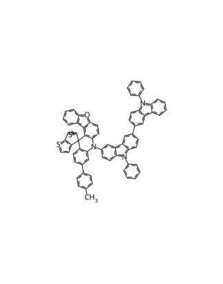 Cc1ccc(-c2ccc3c(c2)N(c2ccc4c(c2)c2cc(-c5ccc6c(c5)c5ccccc5n6-c5ccccc5)ccc2n4-c2ccccc2)c2ccc4oc5ccccc5c4c2C32c3ccsc3-c3sccc32)cc1